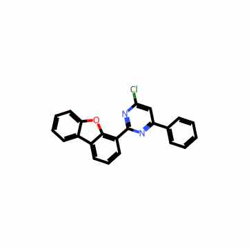 Clc1cc(-c2ccccc2)nc(-c2cccc3c2oc2ccccc23)n1